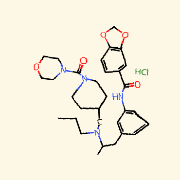 CCCN(CC1CCN(C(=O)N2CCOCC2)CC1)C(C)Cc1cccc(NC(=O)c2ccc3c(c2)OCO3)c1.Cl